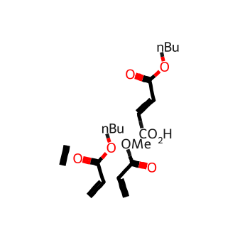 C=C.C=CC(=O)OC.C=CC(=O)OCCCC.CCCCOC(=O)C=CC(=O)O